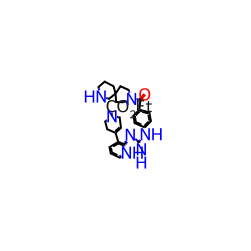 CCOC(=O)N1CC=C(c2ccc[nH]/c2=N\C(=N)Nc2ccc(C(=O)N3CCC4(CCCNC4)CC3)cc2)CC1